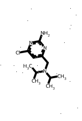 CC(C)N(Cc1cc(Cl)nc(N)n1)C(C)C